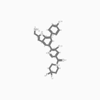 NCc1cc2cc(-c3ncc(C(=O)N4CCC(F)(F)CC4)cc3F)cc(-c3ccc(F)cc3)c2o1